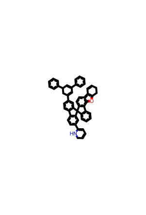 C1=CCNC(c2ccc3c(c2)C2(c4cc(C5=CC(c6ccccc6)=CC(c6ccccc6)C5)ccc4-3)c3ccccc3-c3c2ccc2c4c(oc32)CCC=C4)=C1